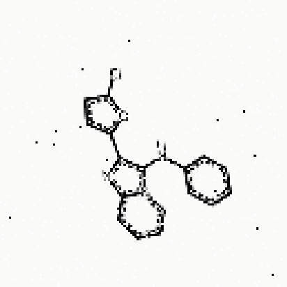 Clc1ccc(-c2nc3ccccn3c2Nc2ccccc2)o1